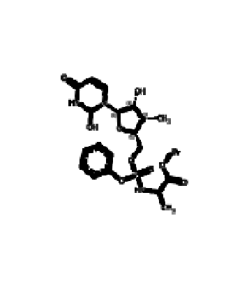 CC(C)OC(=O)C(C)NP(=S)(OC[C@H]1O[C@@H](N2C=CC(=O)NC2O)[C@H](O)[C@@H]1C)Oc1ccccc1